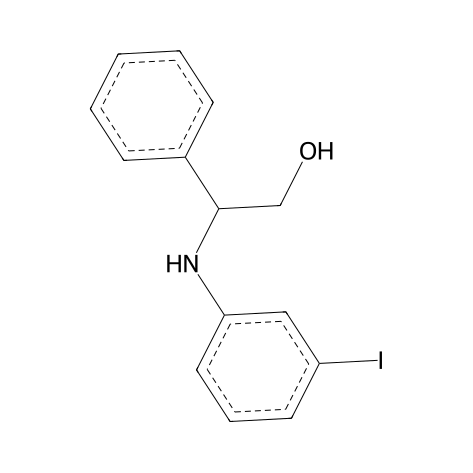 OCC(Nc1cccc(I)c1)c1ccccc1